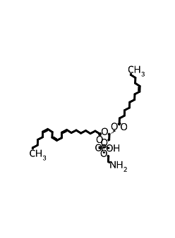 CCCC/C=C\CCCCCCCC(=O)OC[C@H](COP(=O)(O)OCCN)OC(=O)CCCCCC/C=C\C/C=C\C/C=C\CCCCC